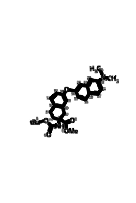 COC(=O)C1(NC(=O)OC(C)(C)C)CCc2ccc(Oc3ccc4ccc(N(C)C)cc4c3)cc2C1